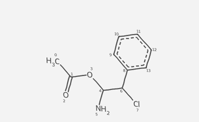 CC(=O)OC(N)C(Cl)c1ccccc1